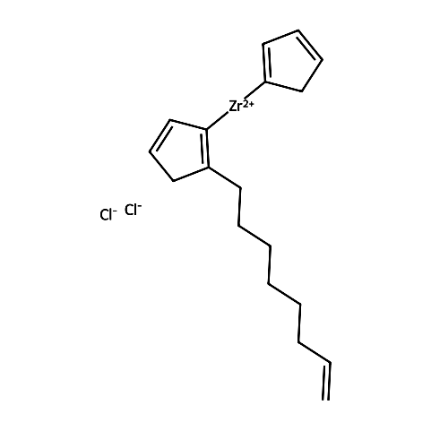 C=CCCCCCCC1=[C]([Zr+2][C]2=CC=CC2)C=CC1.[Cl-].[Cl-]